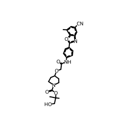 Cc1cc(C#N)cc2nc(-c3ccc(NC(=O)COC4CCN(C(=O)OC(C)(C)CO)CC4)cc3)oc12